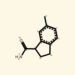 Cc1ccc2c(c1)C(C(N)=O)CC2